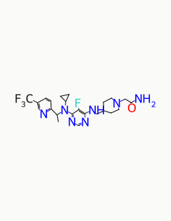 CC(c1ccc(C(F)(F)F)cn1)N(c1ncnc(NCC2CCN(CC(N)=O)CC2)c1F)C1CC1